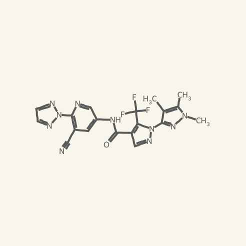 Cc1c(-n2ncc(C(=O)Nc3cnc(-n4nccn4)c(C#N)c3)c2C(F)(F)F)nn(C)c1C